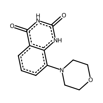 O=c1[nH]c(=O)c2cccc(N3CCOCC3)c2[nH]1